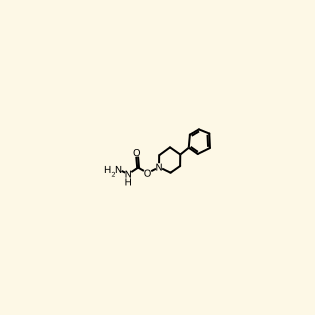 NNC(=O)ON1CCC(c2ccccc2)CC1